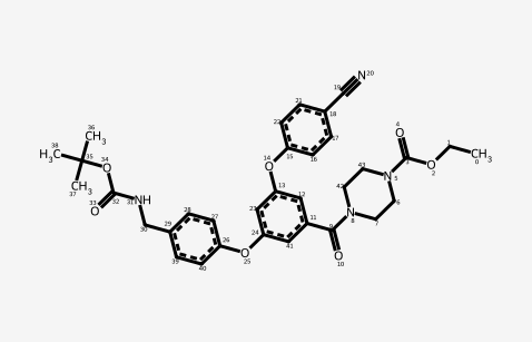 CCOC(=O)N1CCN(C(=O)c2cc(Oc3ccc(C#N)cc3)cc(Oc3ccc(CNC(=O)OC(C)(C)C)cc3)c2)CC1